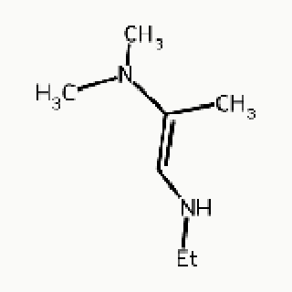 CCN/C=C(\C)N(C)C